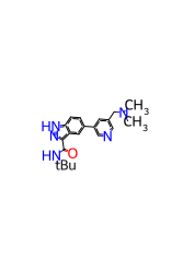 CN(C)Cc1cncc(-c2ccc3[nH]nc(C(=O)NC(C)(C)C)c3c2)c1